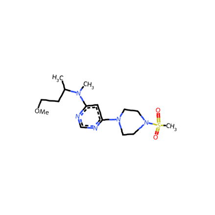 COCCC(C)N(C)c1cc(N2CCN(S(C)(=O)=O)CC2)ncn1